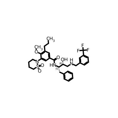 CCCc1cc(C(=O)N[C@@H](Cc2ccccc2)[C@H](O)CNCc2cccc(C(F)(F)F)c2)cc(N2CCCCS2(=O)=O)c1OC